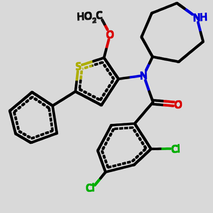 O=C(O)Oc1sc(-c2ccccc2)cc1N(C(=O)c1ccc(Cl)cc1Cl)C1CCCNCC1